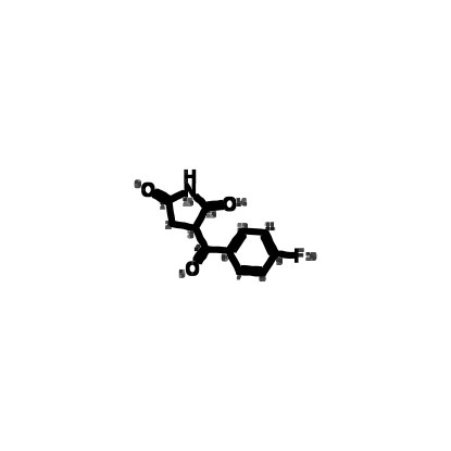 O=C1CC(C(=O)c2ccc(F)cc2)C(=O)N1